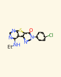 CCNc1ncnc2sc3c(=O)n(-c4ccc(Cl)cc4)cnc3c12